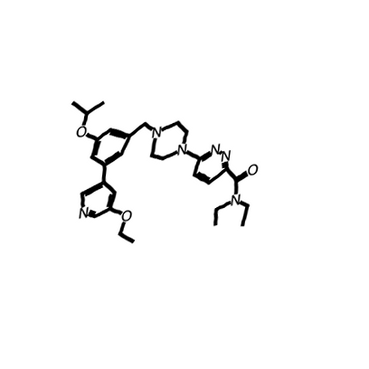 CCOc1cncc(-c2cc(CN3CCN(c4ccc(C(=O)N(CC)CC)nn4)CC3)cc(OC(C)C)c2)c1